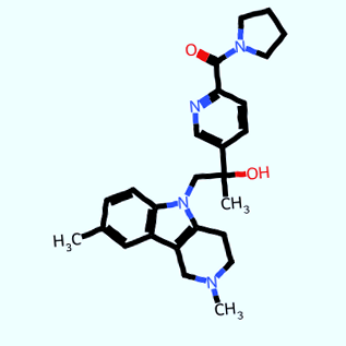 Cc1ccc2c(c1)c1c(n2CC(C)(O)c2ccc(C(=O)N3CCCC3)nc2)CCN(C)C1